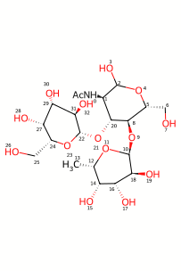 CC(=O)N[C@H]1C(O)O[C@H](CO)[C@@H](O[C@@H]2O[C@@H](C)[C@@H](O)[C@@H](O)[C@@H]2O)[C@@H]1O[C@@H]1O[C@H](CO)[C@H](O)[C@H](O)[C@H]1O